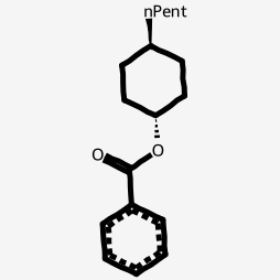 CCCCC[C@H]1CC[C@H](OC(=O)c2ccccc2)CC1